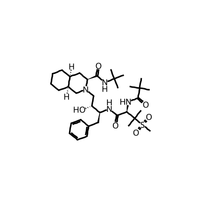 CC(C)(C)NC(=O)[C@@H]1C[C@@H]2CCCC[C@@H]2CN1C[C@@H](O)[C@H](Cc1ccccc1)NC(=O)[C@@H](NC(=O)C(C)(C)C)C(C)(C)S(C)(=O)=O